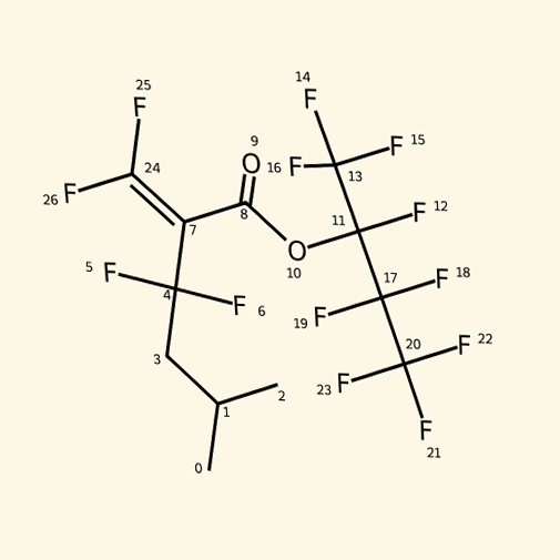 CC(C)CC(F)(F)C(C(=O)OC(F)(C(F)(F)F)C(F)(F)C(F)(F)F)=C(F)F